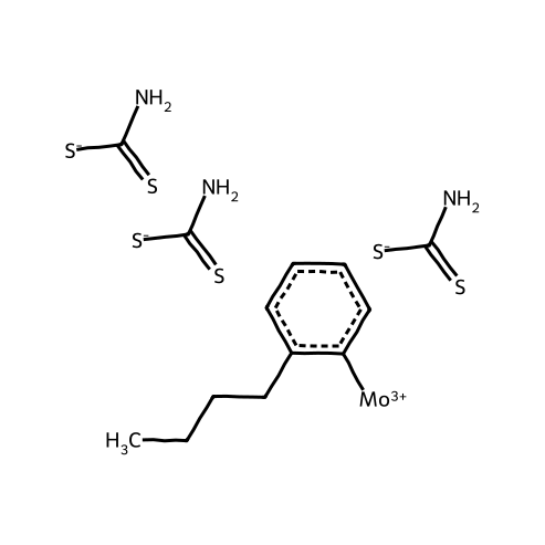 CCCCc1cccc[c]1[Mo+3].NC(=S)[S-].NC(=S)[S-].NC(=S)[S-]